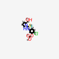 COC(=O)Oc1cc(NC(=S)N2CCC[C@H]2CO)c(F)cc1Cl